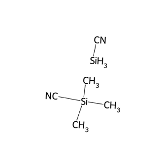 C[Si](C)(C)C#N.N#C[SiH3]